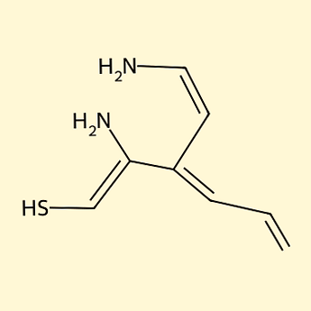 C=C/C=C(\C=C/N)C(/N)=C/S